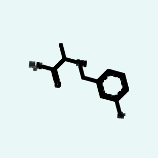 CC(NCc1cccc(Br)c1)C(N)=O